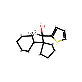 O=C(O)C(O)(c1cccs1)C1(C2CCCCC2)CCCC1